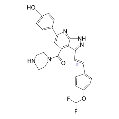 O=C(c1cc(-c2ccc(O)cc2)nc2[nH]nc(/C=C/c3ccc(OC(F)F)cc3)c12)N1CCNCC1